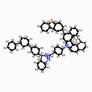 CC1CC=Cc2ccc3c(c21)c1c2ccccc2c(-c2ccc4sc5ccccc5c4c2)cc1n3-c1ccc(C2N3c4ccccc4C(c4ccc(-c5cccc(-c6ccccc6)c5)cc4)N23)cc1